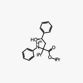 CC(C)OC(=O)C(C[C@@H](O)c1ccccc1)(Nc1ccccc1)C(C)C